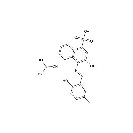 Cc1ccc(O)c(/N=N/c2c(O)cc(S(=O)(=O)O)c3ccccc23)c1.OB(O)O